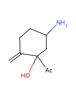 C=C1CCC(N)CC1(O)C(C)=O